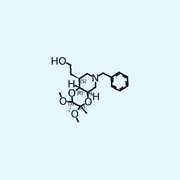 CO[C@@]1(C)O[C@@H]2[C@@H](CCO)CN(Cc3ccccc3)C[C@H]2O[C@]1(C)OC